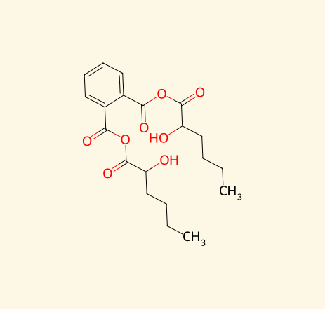 CCCCC(O)C(=O)OC(=O)c1ccccc1C(=O)OC(=O)C(O)CCCC